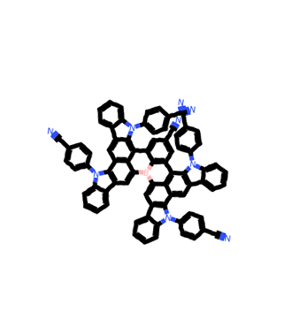 N#Cc1ccc(-n2c3ccccc3c3cc4c5c(cc6c7ccccc7n(-c7ccc(C#N)cc7)c46)B4c6c(cc(C#N)cc6-c6c7c4cc4c8ccccc8n(-c8ccc(C#N)cc8)c4c7cc4c7ccccc7n(-c7ccc(C#N)cc7)c64)-c5c32)cc1